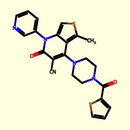 Cc1scc2c1c(N1CCN(C(=O)c3cccs3)CC1)c(C#N)c(=O)n2-c1cccnc1